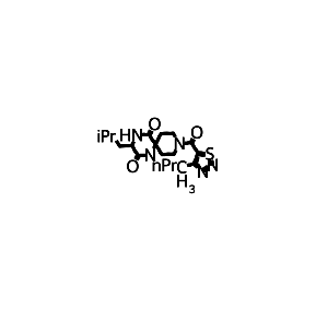 CCCN1C(=O)C(CC(C)C)NC(=O)C12CCN(C(=O)c1snnc1C)CC2